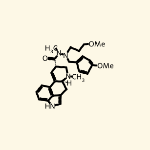 COCCCN(Cc1ccc(OC)cc1)N(C)C(=O)[C@H]1C=C2c3cccc4[nH]cc(c34)C[C@@H]2N(C)C1